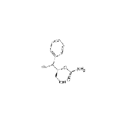 CC(C)(C)C(c1ccccc1)[C@H](CO)OC(N)=O